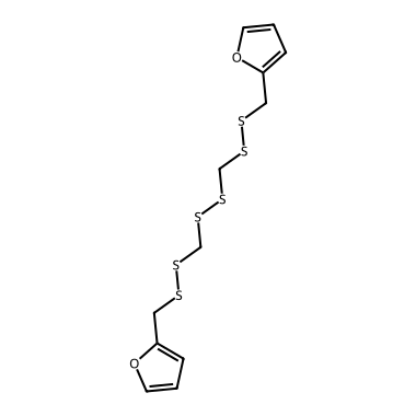 c1coc(CSSCSSCSSCc2ccco2)c1